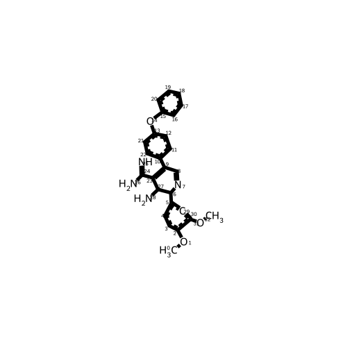 COc1ccc(C2N=CC(c3ccc(Oc4ccccc4)cc3)=C(C(=N)N)C2N)cc1OC